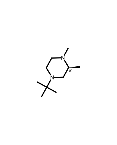 C[C@H]1CN(C(C)(C)C)CCN1C